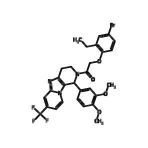 CCc1cc(Br)ccc1OCC(=O)N1CCc2nc3cc(C(F)(F)F)ccn3c2C1c1ccc(OC)c(OC)c1